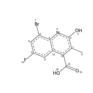 Cc1c(O)nc2c(Br)cc(F)cc2c1C(=O)O